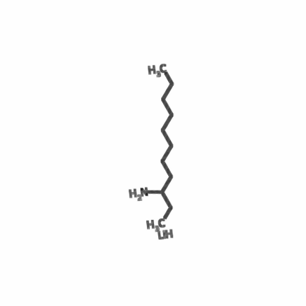 CCCCCCCCC(N)CC.[LiH]